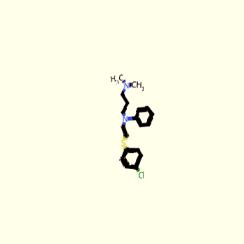 CN(C)CCCN(CCSc1ccc(Cl)cc1)c1ccccc1